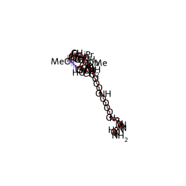 C=C(C)[C@@H](O)[C@@H](O)C(=O)[C@H](C)C[C@H](C)/C=C/C=C/C=C(\C)[C@H](C[C@@H]1CC[C@@H](C)[C@](O)(C(=O)C(=O)N2CCCC[C@H]2C(=O)O[C@@H](CC(=O)C(C)C)[C@H](N)C[C@@H]2CC[C@@H](OC(=O)NCCOCCOCCOCCOCCC(=O)NCCOCCOCCOCCOCCC(=O)N3CCc4cc(Cn5nc(-c6ccc7oc(N)nc7c6)c6c(N)ncnc65)ccc4C3)[C@H](OC)C2)O1)OC